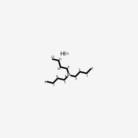 CCCCP(CCCC)CCCC.I